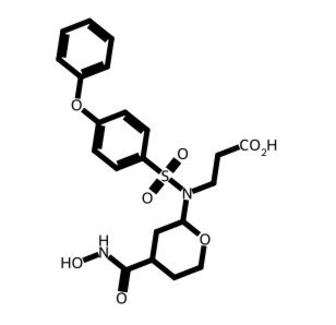 O=C(O)CCN(C1CC(C(=O)NO)CCO1)S(=O)(=O)c1ccc(Oc2ccccc2)cc1